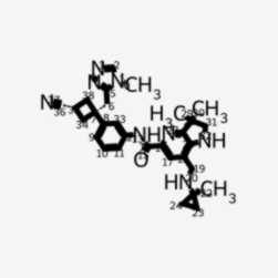 Cn1cnnc1C[C@]1(c2cccc(NC(=O)c3cc(CNC4(C)CC4)c4c(n3)C(C)(C)CN4)c2)C[C@H](C#N)C1